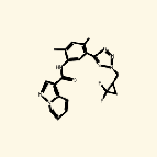 Cc1cc(C)c(-c2nnn(CC3CC3(F)F)n2)cc1NC(=O)c1cnn2ccccc12